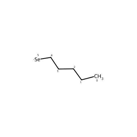 CCCCC[Se]